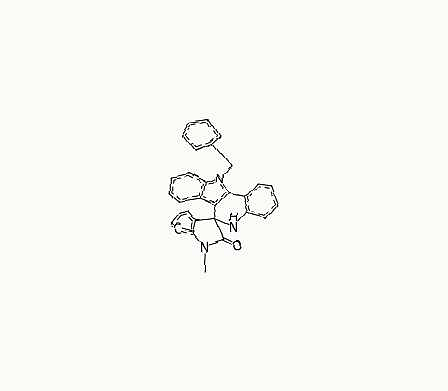 CN1C(=O)C2(Nc3ccccc3-c3c2c2ccccc2n3Cc2ccccc2)c2ccccc21